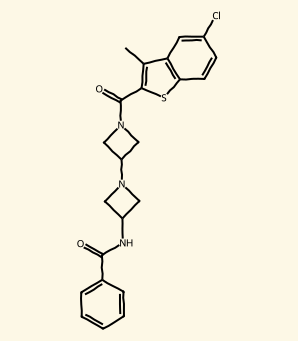 Cc1c(C(=O)N2CC(N3CC(NC(=O)c4ccccc4)C3)C2)sc2ccc(Cl)cc12